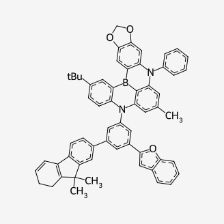 Cc1cc2c3c(c1)N(c1ccccc1)c1cc4c(cc1B3c1cc(C(C)(C)C)ccc1N2c1cc(-c2ccc3c(c2)C(C)(C)C2=C3C=CCC2)cc(-c2cc3ccccc3o2)c1)OCO4